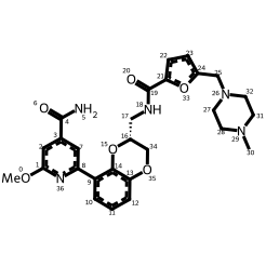 COc1cc(C(N)=O)cc(-c2cccc3c2O[C@H](CNC(=O)c2ccc(CN4CCN(C)CC4)o2)CO3)n1